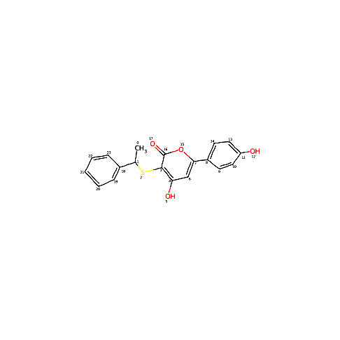 CC(Sc1c(O)cc(-c2ccc(O)cc2)oc1=O)c1ccccc1